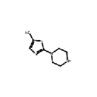 N#Cc1cnc(N2CCNCC2)s1